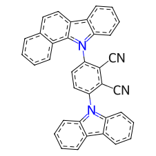 N#Cc1c(-n2c3ccccc3c3ccccc32)ccc(-n2c3ccccc3c3ccc4ccccc4c32)c1C#N